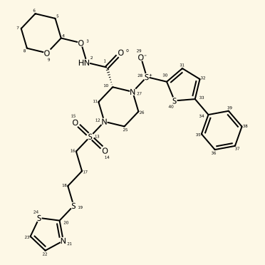 O=C(NOC1CCCCO1)[C@H]1CN(S(=O)(=O)CCCSc2nccs2)CCN1[S+]([O-])c1ccc(-c2ccccc2)s1